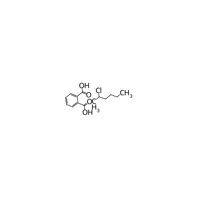 CCCCC(C)Cl.O=C(O)c1ccccc1C(=O)O